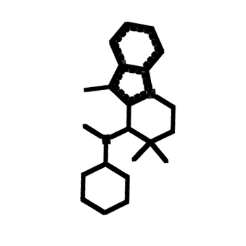 Cc1c2n(c3ccccc13)CCC(C)(C)C2N(C)C1CCCCC1